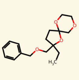 CCC1(COCc2ccccc2)CCC2(COCCO2)O1